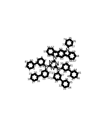 c1ccc(-c2cccc(B(c3cccc(-c4ccccc4)c3)c3nc(B(c4cccc(-c5ccccc5)c4)c4cccc(-c5ccccc5)c4)nc(-n4c5ccccc5c5cc6c(cc54)c4ccccc4n6-c4ccccc4)n3)c2)cc1